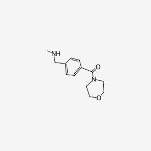 CNCc1ccc(C(=O)N2CCOCC2)cc1